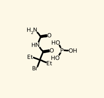 CCC(Br)(CC)C(=O)NC(N)=O.OP(O)O